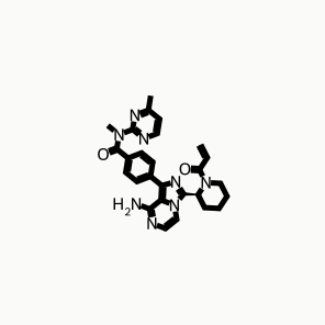 C=CC(=O)N1CCCC[C@H]1c1nc(-c2ccc(C(=O)N(C)c3nccc(C)n3)cc2)c2c(N)nccn12